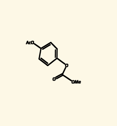 COC(=O)Oc1ccc(OC(C)=O)cc1